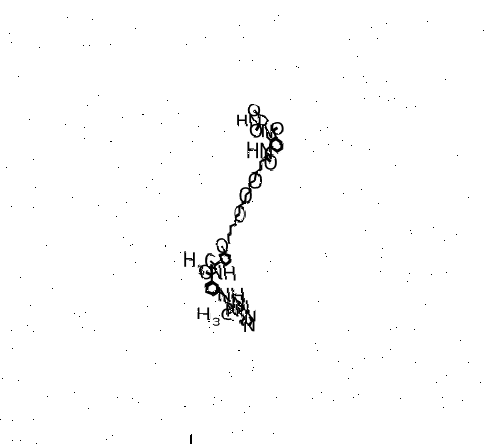 CC(NC(=O)c1cccc(NCc2nnc(-c3ccncn3)n2C)c1)c1cccc(OCCCCCCOCCOCCOCCCC(=O)Nc2cccc3c2CN(C2CCC(=O)NC2=O)C3=O)c1